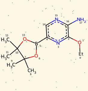 CCOc1nc(B2OC(C)(C)C(C)(C)O2)cnc1N